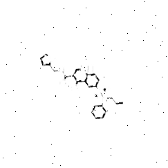 C=CCN(c1ccccc1)S(=O)(=O)c1ccc2[nH]cc(C(=O)NCc3ccco3)c(=O)c2c1